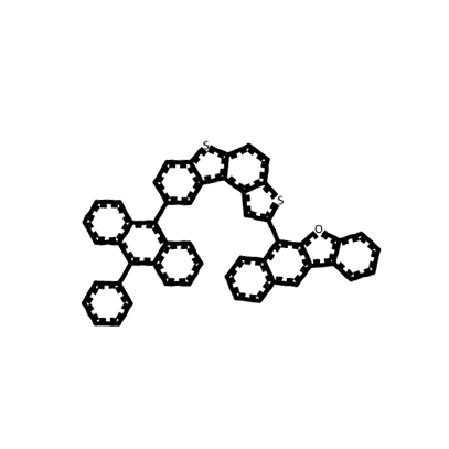 c1ccc(-c2c3ccccc3c(-c3ccc4sc5ccc6sc(-c7c8ccccc8cc8c7oc7ccccc78)cc6c5c4c3)c3ccccc23)cc1